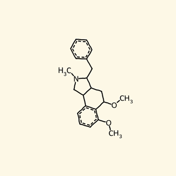 COc1cccc2c1C(OC)CC1C2CN(C)C1Cc1ccccc1